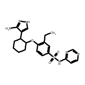 CCc1cc(S(=O)(=O)Nc2ccncn2)ccc1OC1CCCCC1c1c[nH]nc1N